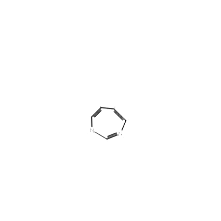 C1=C[N]C=NC=C1